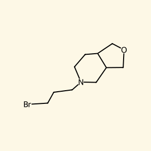 BrCCCN1CCC2COCC2C1